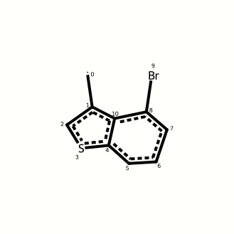 [CH2]c1csc2cccc(Br)c12